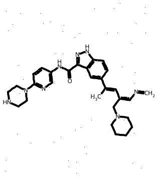 C=N/C=C(\C=C(/C)c1ccc2[nH]nc(C(=O)Nc3ccc(N4CCNCC4)nc3)c2c1)CN1CCCCC1